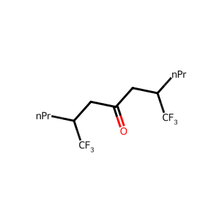 CCCC(CC(=O)CC(CCC)C(F)(F)F)C(F)(F)F